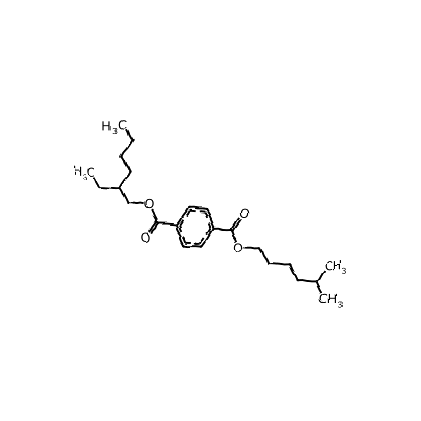 CCCCC(CC)COC(=O)c1ccc(C(=O)OCCCCC(C)C)cc1